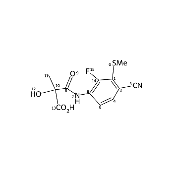 CSc1c(C#N)ccc(NC(=O)C(C)(O)C(=O)O)c1F